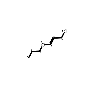 [CH2]CCOC=CCCl